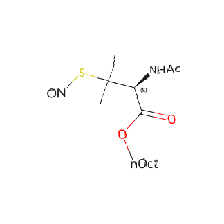 CCCCCCCCOC(=O)[C@H](NC(C)=O)C(C)(C)SN=O